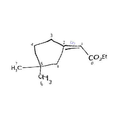 CCOC(=O)/C=C1/CCC(C)(C)C1